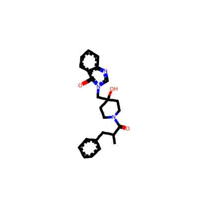 CC(Cc1ccccc1)C(=O)N1CCC(O)(Cn2cnc3ccccc3c2=O)CC1